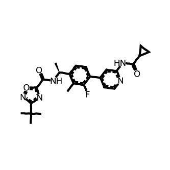 Cc1c([C@H](C)NC(=O)c2nc(C(C)(C)C)no2)ccc(-c2ccnc(NC(=O)C3CC3)c2)c1F